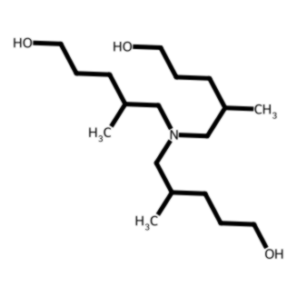 CC(CCCO)CN(CC(C)CCCO)CC(C)CCCO